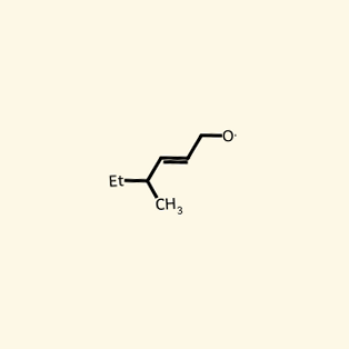 CCC(C)C=CC[O]